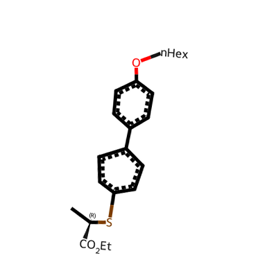 CCCCCCOc1ccc(-c2ccc(S[C@H](C)C(=O)OCC)cc2)cc1